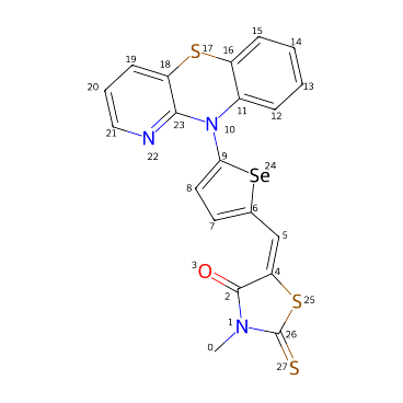 CN1C(=O)/C(=C\c2ccc(N3c4ccccc4Sc4cccnc43)[se]2)SC1=S